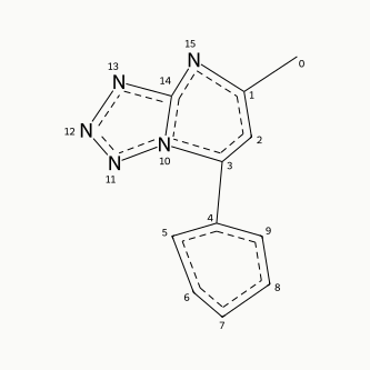 Cc1cc(-c2ccccc2)n2nnnc2n1